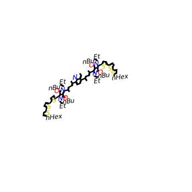 C/C=C1/C(/C(C)=C/C=C(\C)C2=C3C(=O)N(CC(CC)CCCC)C(c4ccc(-c5ccc(-c6ccc(CCCCCC)s6)s5)s4)=C3C(=O)N2CC(CC)CCCC)=CC=C(/C(C)=C/C=C(\C)C2=C3C(=O)N(CC(CC)CCCC)C(c4ccc(-c5ccc(-c6ccc(CCCCCC)s6)s5)s4)=C3C(=O)N2CC(CC)CCCC)/C1=N/C